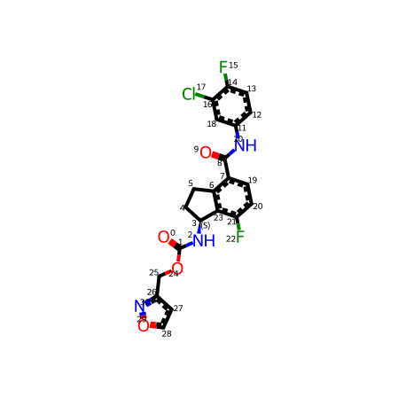 O=C(N[C@H]1CCc2c(C(=O)Nc3ccc(F)c(Cl)c3)ccc(F)c21)OCc1ccon1